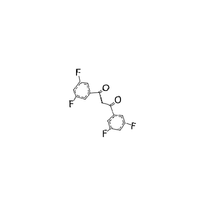 O=C(CC(=O)c1cc(F)cc(F)c1)c1cc(F)cc(F)c1